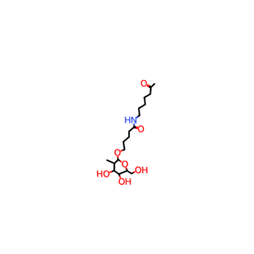 CC(=O)CCCCCNC(=O)CCCCOC1OC(CO)C(O)C(O)C1C